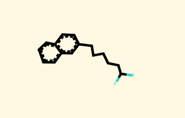 F[C](F)CCCCCc1ccc2ccccc2c1